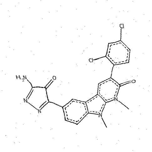 Cn1c(=O)c(-c2ccc(Cl)cc2Cl)cc2c3cc(C4=NN=C(N)C4=O)ccc3n(C)c21